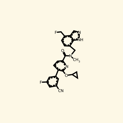 CN(Cc1ccc(CF)c2cn[nH]c12)C(=O)c1ccc(-c2cc(F)cc(C#N)c2)c(OC2CC2)n1